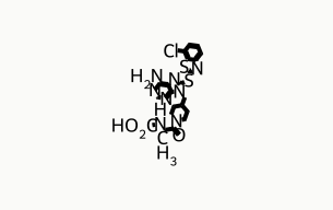 C[C@@H](NC(=O)O)C(=O)N1CCC(Cn2c(Sc3nc4cccc(Cl)c4s3)nc3c(N)ncnc32)CC1